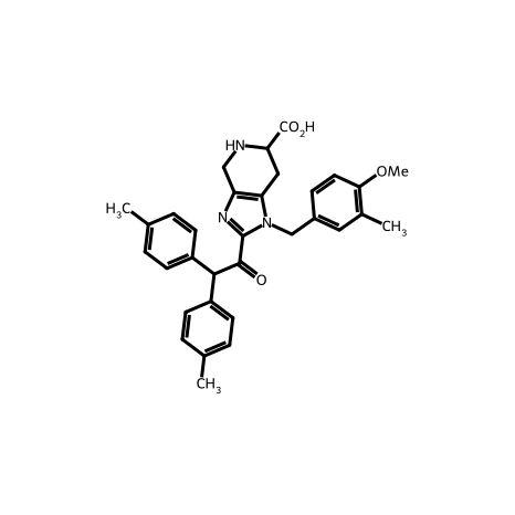 COc1ccc(Cn2c(C(=O)C(c3ccc(C)cc3)c3ccc(C)cc3)nc3c2CC(C(=O)O)NC3)cc1C